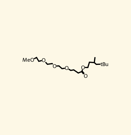 COCCOCCOCCOCCCC(=O)OCCC(C)CC(C)(C)C